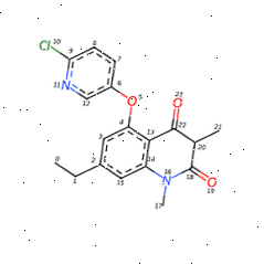 CCc1cc(Oc2ccc(Cl)nc2)c2c(c1)N(C)C(=O)C(C)C2=O